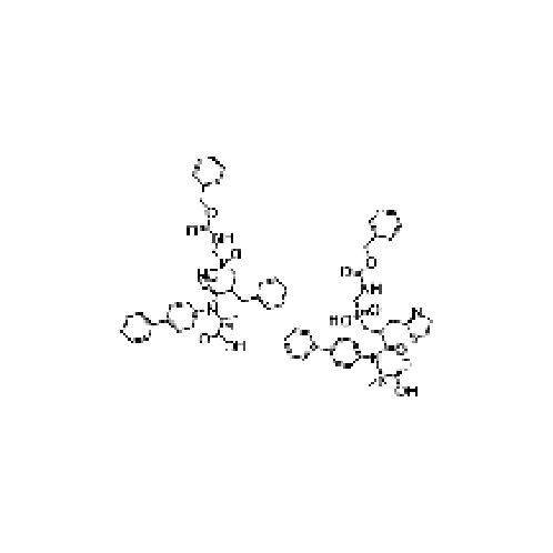 C[C@@H](C(=O)O)N(C(=O)C(Cc1ccccc1)CP(=O)(O)CNC(=O)OCc1ccccc1)c1ccc(-c2ccccc2)cc1.C[C@@H](C(=O)O)N(C(=O)C(Cc1nccs1)CP(=O)(O)CNC(=O)OCc1ccccc1)c1ccc(-c2ccccc2)cc1